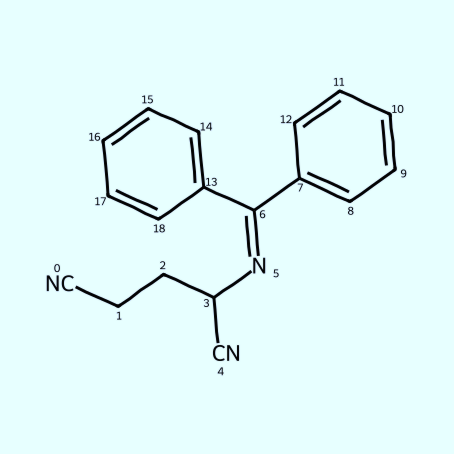 N#CCCC(C#N)N=C(c1ccccc1)c1ccccc1